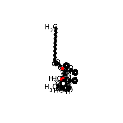 CCCCCCCCCCCCCCCCCC1OCC(COC(=O)O[C@@H](C(=O)O[C@H]2C[C@@]3(O)[C@@H](OC(=O)c4ccccc4)[C@H]4C(C(=O)[C@H](OC(C)=O)C(=C2C)C3(C)C)[C@@H](O)C[C@H]2OC[C@@]42O)[C@@H](NC(=O)c2ccccc2)c2ccccc2)O1